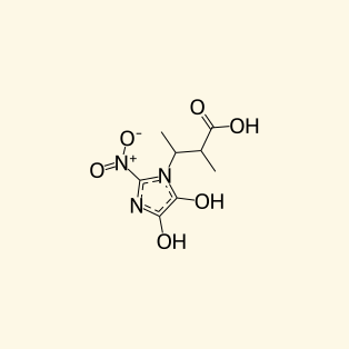 CC(C(=O)O)C(C)n1c([N+](=O)[O-])nc(O)c1O